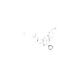 C=CCN1CCN(C(=O)NC(C(=O)NC(OC(C)=O)C2=C(C(=O)O)N3C(=O)[C@H](OC)[C@H]3SC2)c2ccc(O)cc2)C(=O)C1=O